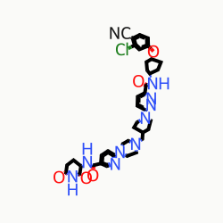 N#Cc1ccc(O[C@H]2CC[C@H](NC(=O)c3ccc(N4CCC(CN5CCN(c6ccc(C(=O)NC7CCC(=O)NC7=O)cn6)CC5)CC4)nn3)CC2)cc1Cl